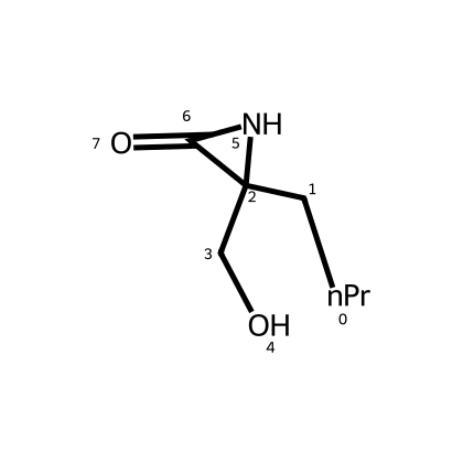 CCCCC1(CO)NC1=O